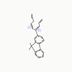 C=C/C=C(\C=C/CI)c1ccc2c(c1)C(C)(C)c1ccccc1-2